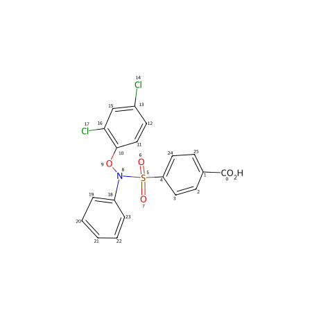 O=C(O)c1ccc(S(=O)(=O)N(Oc2ccc(Cl)cc2Cl)c2ccccc2)cc1